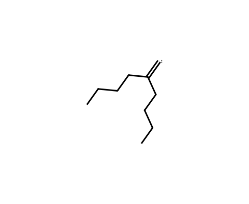 [C]=C(CCCC)CCCC